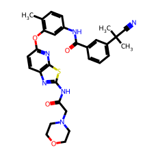 Cc1ccc(NC(=O)c2cccc(C(C)(C)C#N)c2)cc1Oc1ccc2nc(NC(=O)CN3CCOCC3)sc2n1